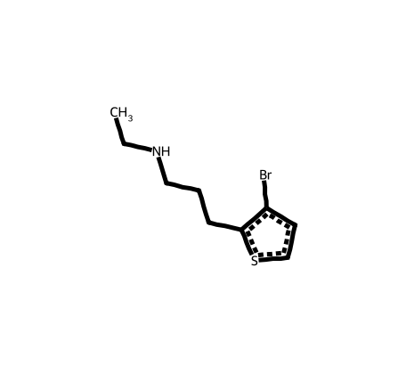 CCNCCCc1sccc1Br